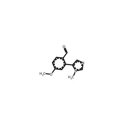 COc1ccc(C=O)c(-c2cncn2C)c1